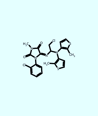 Cc1sccc1N(c1ccsc1C)C(CCl)N=C1C(=O)N(C)C(=O)N1c1ccccc1Cl